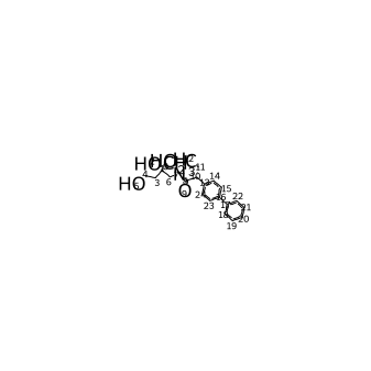 CC(O)(CCO)CNC(=O)[C@H](CC(=O)O)c1ccc(-c2ccccc2)cc1